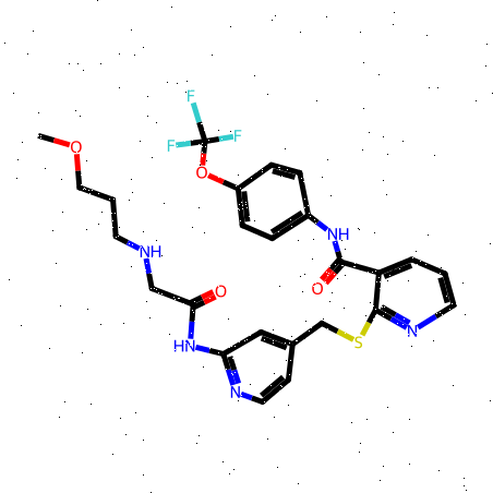 COCCCNCC(=O)Nc1cc(CSc2ncccc2C(=O)Nc2ccc(OC(F)(F)F)cc2)ccn1